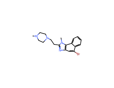 CN1CCN(CCc2nc3cc(Br)c4ccccc4c3n2C)CC1